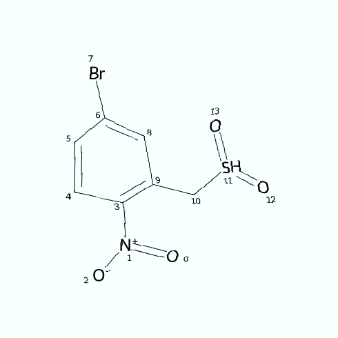 O=[N+]([O-])c1ccc(Br)cc1C[SH](=O)=O